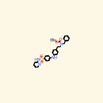 CC(C)(C)OC(=O)N(CCc1ccc(Nc2ccc(S(=O)(=O)Nc3ccccn3)cc2)cc1)Cc1ccccc1